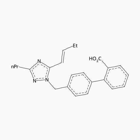 CC/C=C/c1nc(CCC)nn1Cc1ccc(-c2ccccc2C(=O)O)cc1